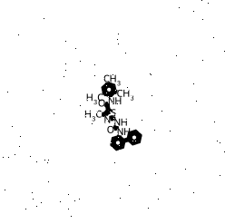 Cc1cc(C)c(NC(=O)c2sc(NC(=O)Nc3ccccc3-c3ccccc3)nc2C)c(C)c1